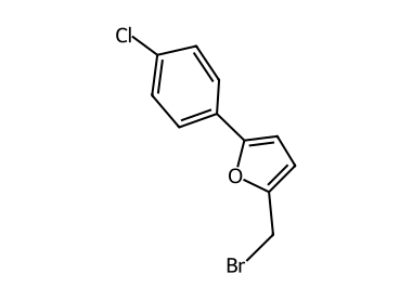 Clc1ccc(-c2ccc(CBr)o2)cc1